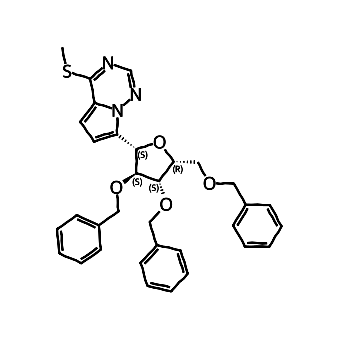 CSc1ncnn2c([C@@H]3O[C@H](COCc4ccccc4)[C@H](OCc4ccccc4)[C@H]3OCc3ccccc3)ccc12